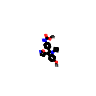 CCOc1ccc2c(-c3ccno3)c(-c3ccc(NC(=O)OC(C)C)cc3)n(C3CCC3)c2c1